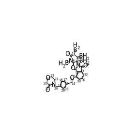 BC1C(=O)N(B)C(=O)C(B)(N2Cc3c(OCc4ccc(CN5CCOCC5=O)cc4)cccc3C2=O)C1B